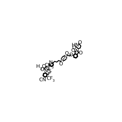 CC1(C)C(=O)N(c2ccc(C#N)c(C(F)(F)F)c2F)C(=S)N1c1ccc(CCCC(=O)N2CCN(C(=O)COc3cccc4c3C(=O)N(C3CCC(=O)NC3=O)C4=O)CC2)nc1